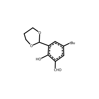 CC(C)(C)c1cc(C=O)c(O)c(C2OCCCO2)c1